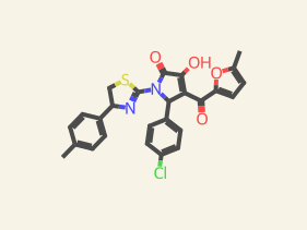 Cc1ccc(C2CSC(N3C(=O)C(O)=C(C(=O)c4ccc(C)o4)C3c3ccc(Cl)cc3)=N2)cc1